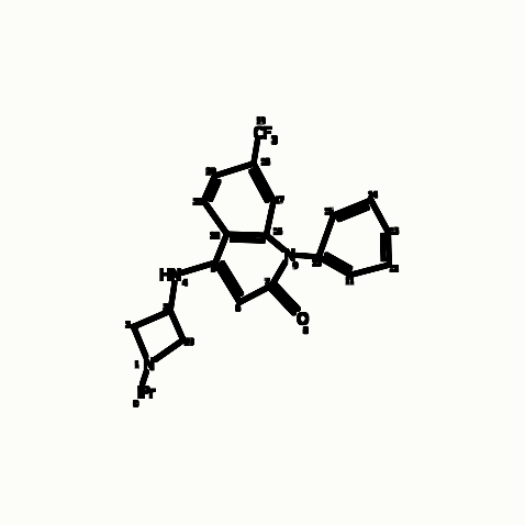 CC(C)N1CC(Nc2cc(=O)n(-c3ccccc3)c3cc(C(F)(F)F)ccc23)C1